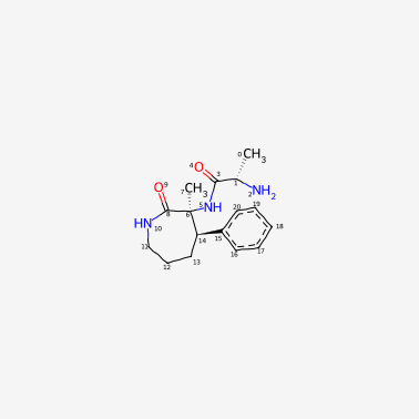 C[C@H](N)C(=O)N[C@]1(C)C(=O)NCCC[C@@H]1c1ccccc1